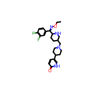 CCON=C(c1ccc(F)c(F)c1)C1CCC(CN2CCC(c3ccc(=O)[nH]c3)CC2)CN1